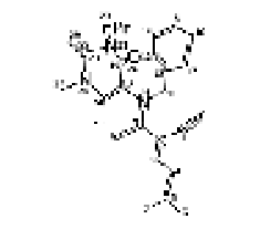 C#C/C(=C\C=C(C)C)C(=C)N(Cc1ccccc1)/C(C(=O)N(C)CCC)=C(\C)N(C)C=C